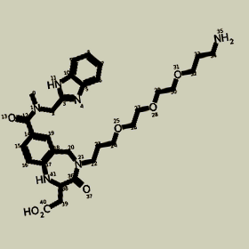 CN(Cc1nc2ccccc2[nH]1)C(=O)c1ccc2c(c1)CN(CCCOCCOCCOCCCN)C(=O)C(CC(=O)O)N2